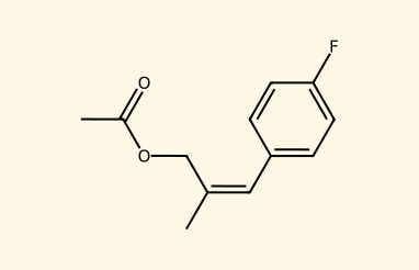 CC(=O)OCC(C)=Cc1ccc(F)cc1